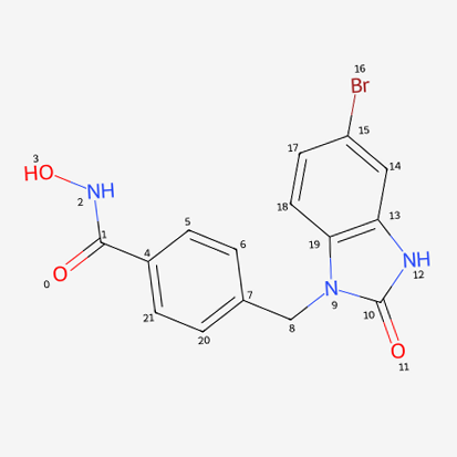 O=C(NO)c1ccc(Cn2c(=O)[nH]c3cc(Br)ccc32)cc1